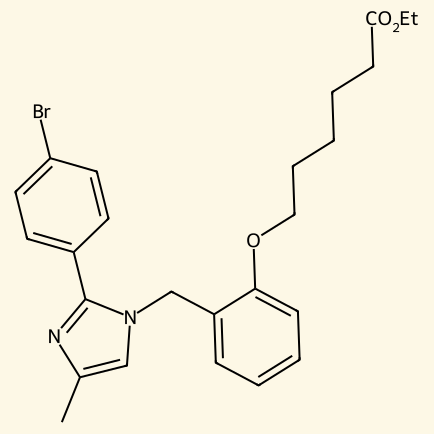 CCOC(=O)CCCCCOc1ccccc1Cn1cc(C)nc1-c1ccc(Br)cc1